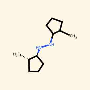 CC1CCCC1NN[C@H]1CCC[C@@H]1C